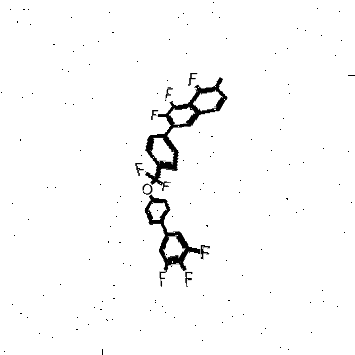 Cc1ccc2cc(-c3ccc(C(F)(F)Oc4ccc(-c5cc(F)c(F)c(F)c5)cc4)cc3)c(F)c(F)c2c1F